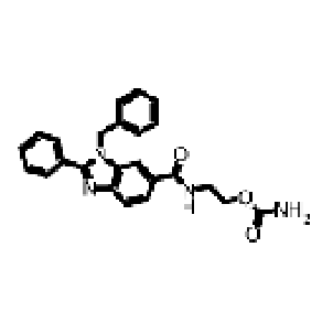 NC(=O)OCCNC(=O)c1ccc2nc(-c3ccccc3)n(Cc3ccccc3)c2c1